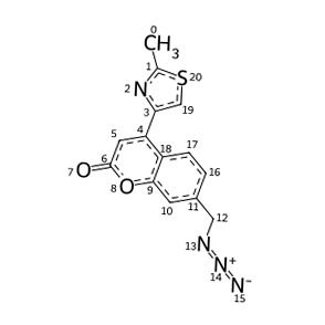 Cc1nc(-c2cc(=O)oc3cc(CN=[N+]=[N-])ccc23)cs1